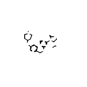 CC(C)[C@H]1COC(=O)N1c1ncnc(N[C@@H](C)c2ccc(OC3CCN(C)CC3)cn2)n1